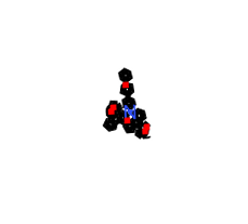 c1ccc(-c2ccc(-c3ccc(N(c4ccc5c(c4)C4(c6ccccc6-5)C5CCC6CC(C5)CC4C6)c4cccc5c4-c4ccccc4C54C5CCC6CC(C5)CC4C6)cc3)cc2)cc1